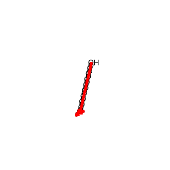 CC(C)(C)CC(C)(C)c1ccc(OCCOCCOCCOCCOCCOCCOCCOCCOCCOCCOCCOCCOCCOCCOCCOCCOCCO)c(C(C)(C)CC(C)(C)C)c1